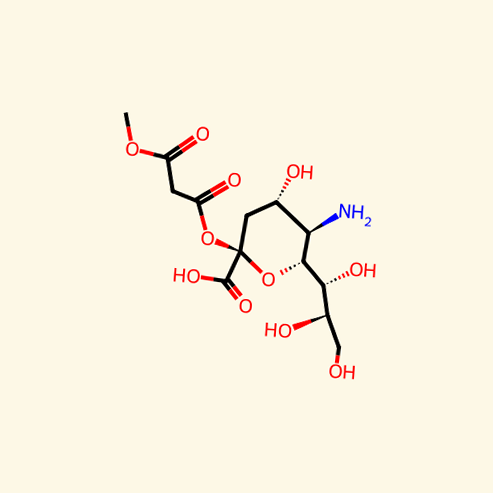 COC(=O)CC(=O)O[C@@]1(C(=O)O)C[C@H](O)[C@@H](N)[C@H]([C@H](O)[C@H](O)CO)O1